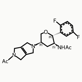 CC(=O)N[C@H]1C[C@@H](N2CC3=C(CN(C(C)=O)C3)C2)CO[C@@H]1c1cc(F)ccc1F